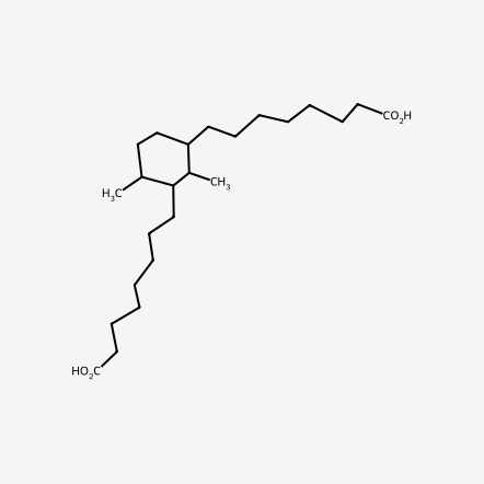 CC1CCC(CCCCCCCC(=O)O)C(C)C1CCCCCCCC(=O)O